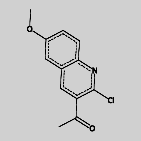 COc1ccc2nc(Cl)c(C(C)=O)cc2c1